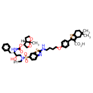 CC(C)CN(C[C@@H](O)[C@H](Cc1ccccc1)NC(=O)O[C@H]1CO[C@@]2(C)OCC[C@@H]12)S(=O)(=O)c1ccc2nc(NCCCCOc3ccc(-c4sc5c(c4C(=O)O)CC(C)(C)CC5)cc3)sc2c1